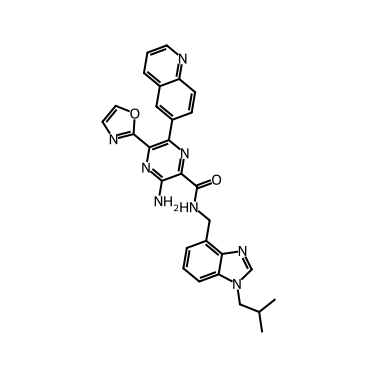 CC(C)Cn1cnc2c(CNC(=O)c3nc(-c4ccc5ncccc5c4)c(-c4ncco4)nc3N)cccc21